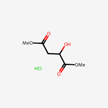 COC(=O)CC(O)C(=O)OC.Cl